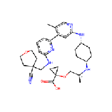 Cc1cnc(N[C@H]2CC[C@H](N[C@@H](C)COC3(C(=O)O)CC3)CC2)cc1-c1cccc(NCC2(C#N)CCOCC2)n1